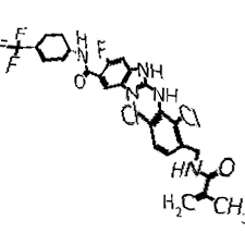 C=C(C)C(=O)NCc1ccc(Cl)c(Nc2nc3cc(C(=O)N[C@H]4CC[C@H](C(F)(F)F)CC4)c(F)cc3[nH]2)c1Cl